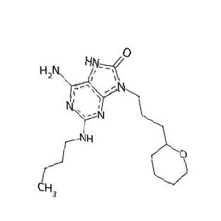 CCCCNc1nc(N)c2[nH]c(=O)n(CCCC3CCCCO3)c2n1